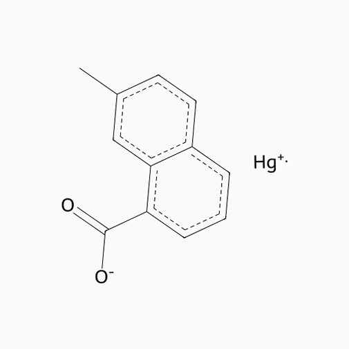 Cc1ccc2cccc(C(=O)[O-])c2c1.[Hg+]